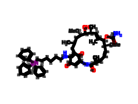 CO[C@H]1C[C@H](C)CC2=C(NCCCCCC[PH](c3ccccc3)(c3ccccc3)c3ccccc3)C(=O)C=C(NC(=O)/C(C)=C/C=C\[C@H](OC)[C@@H](OC(N)=O)/C(C)=C/[C@H](C)C1O)C2=O